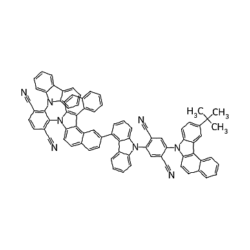 CC(C)(C)c1ccc2c(c1)c1c3ccccc3ccc1n2-c1cc(C#N)c(-n2c3ccccc3c3c(-c4ccc5ccc6c(c5c4)c4c5ccccc5ccc4n6-c4c(C#N)ccc(C#N)c4-n4c5ccccc5c5ccccc54)cccc32)cc1C#N